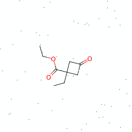 CCOC(=O)C1(CC)CC(=O)C1